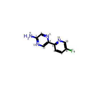 Nc1cnc(-c2ccc(F)cn2)cn1